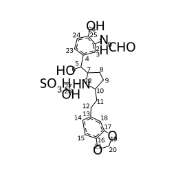 O=CNc1cc(C(O)C2CCC(CCc3ccc4c(c3)OCO4)N2)ccc1O.O=S(=O)(O)O